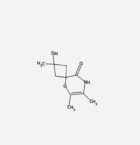 CC1=C(C)OC2(CC(C)(O)C2)C(=O)N1